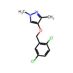 Cc1nn(C)[c]c1OCc1cc(Cl)ccc1Cl